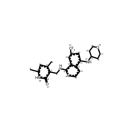 Cc1cc(C)c(CNc2nccc3c(NC4CCOCC4)cc(C(F)(F)F)cc23)c(=O)[nH]1